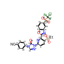 CCS(=O)(=O)c1ccc(-n2ncn(-c3ccc(C#N)cc3)c2=O)nc1-c1nc2cc(S(=O)(=O)C(F)(F)Cl)ccc2o1